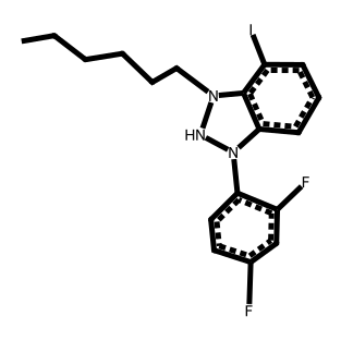 CCCCCCN1NN(c2ccc(F)cc2F)c2cccc(I)c21